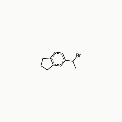 CC(Br)c1ccc2c(c1)CCC2